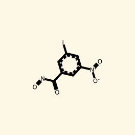 O=NC(=O)c1cc(I)cc([N+](=O)[O-])c1